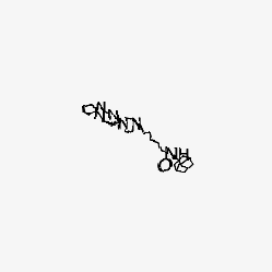 O=C(NCCCCCCN1CCN(c2ccn3c(n2)nc2ccccc23)CC1)C12CC3CC(CC(C3)C1)C2